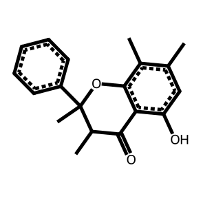 Cc1cc(O)c2c(c1C)OC(C)(c1ccccc1)C(C)C2=O